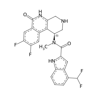 CN(C(=O)c1cc2c(C(F)F)cccc2[nH]1)[C@@H]1CNCc2[nH]c(=O)c3cc(F)c(F)cc3c21